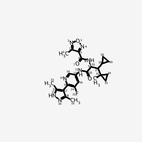 Cc1nonc1C(=O)N[C@H](C(=O)Nc1cnc(-c2c(C)n[nH]c2C)c(F)c1)C(C1CC1)C1(C)CC1